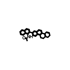 CC(=O)Nc1c(-c2ccc3c4c(ccc3c2)C2=C(CCC=C2)CC4)ccc2ccccc12